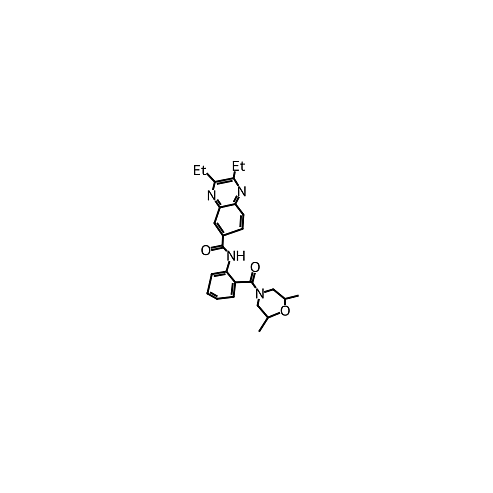 CCc1nc2ccc(C(=O)Nc3ccccc3C(=O)N3CC(C)OC(C)C3)cc2nc1CC